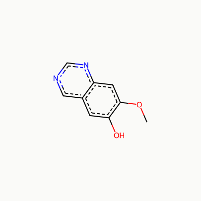 COc1cc2ncncc2cc1O